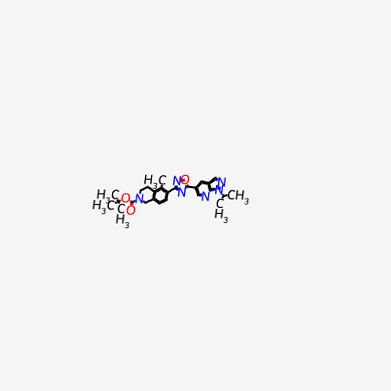 Cc1c(-c2noc(-c3cnc4c(cnn4C(C)C)c3)n2)ccc2c1CCN(C(=O)OC(C)(C)C)C2